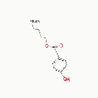 CCCCCCCCCCCCCOC(=O)c1ccc(O)cc1